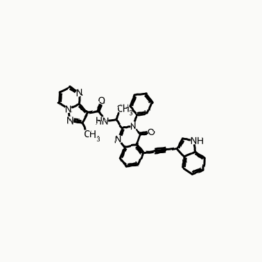 Cc1nn2cccnc2c1C(=O)NC(C)c1nc2cccc(C#Cc3c[nH]c4ccccc34)c2c(=O)n1-c1ccccc1